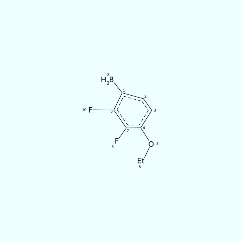 Bc1ccc(OCC)c(F)c1F